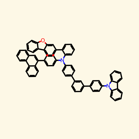 c1cc(-c2ccc(N(c3ccc(-c4cc5ccccc5c5ccccc45)cc3)c3ccccc3-c3ccc4c(c3)oc3ccccc34)cc2)cc(-c2ccc(-n3c4ccccc4c4ccccc43)cc2)c1